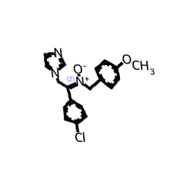 COc1ccc(C/[N+]([O-])=C(/Cn2ccnc2)c2ccc(Cl)cc2)cc1